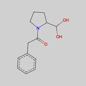 O=C(Cc1ccccc1)N1CCCC1C(O)O